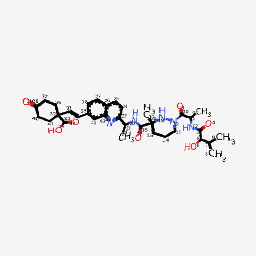 CC(NC(=O)C(O)C(C)C)C(=O)N1CCCC(C)(C(=O)NC(C)c2ccc3ccc(/C=C/C4(C(=O)O)CCC(=O)CC4)cc3n2)N1